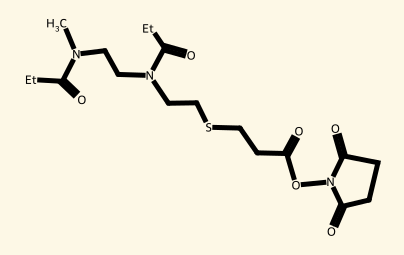 CCC(=O)N(C)CCN(CCSCCC(=O)ON1C(=O)CCC1=O)C(=O)CC